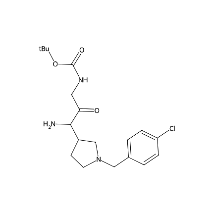 CC(C)(C)OC(=O)NCC(=O)C(N)C1CCN(Cc2ccc(Cl)cc2)C1